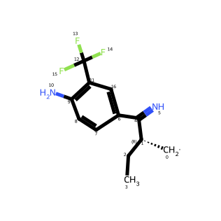 [CH2][C@H](CC)C(=N)c1ccc(N)c(C(F)(F)F)c1